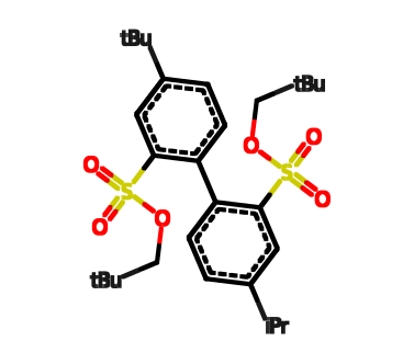 CC(C)c1ccc(-c2ccc(C(C)(C)C)cc2S(=O)(=O)OCC(C)(C)C)c(S(=O)(=O)OCC(C)(C)C)c1